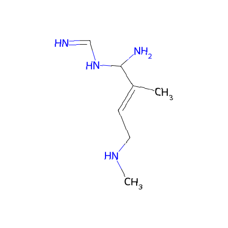 CNC/C=C(\C)C(N)NC=N